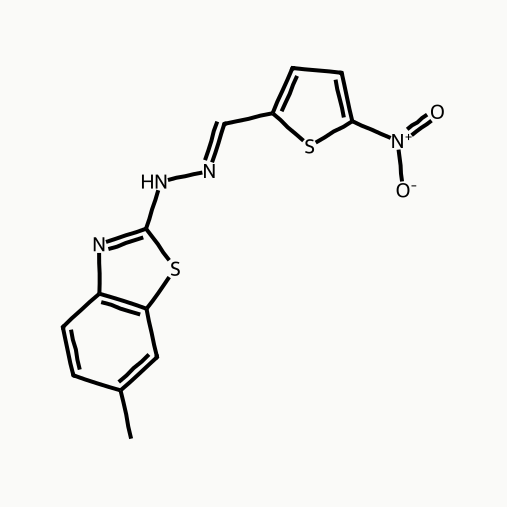 Cc1ccc2nc(NN=Cc3ccc([N+](=O)[O-])s3)sc2c1